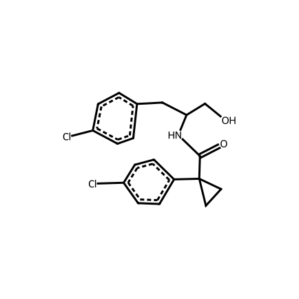 O=C(NC(CO)Cc1ccc(Cl)cc1)C1(c2ccc(Cl)cc2)CC1